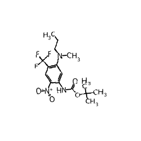 CCCN(C)c1cc(NC(=O)OC(C)(C)C)c([N+](=O)[O-])cc1C(F)(F)F